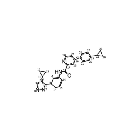 O=C(NC1=CC(c2nncn2C2CC2)CC=C1)c1cc(-c2ccc(C3CC3)cc2)ccn1